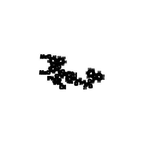 COc1ccc(C(OC[C@H]2O[C@@H](n3cnc4c(NC(=O)CCCN(C)C(=O)OCC5c6ccccc6-c6ccccc65)ncnc43)CC2OP(OCCC#N)N(C(C)C)C(C)C)(c2ccccc2)c2ccc(OC)cc2)cc1